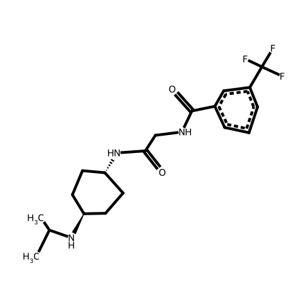 CC(C)N[C@H]1CC[C@H](NC(=O)CNC(=O)c2cccc(C(F)(F)F)c2)CC1